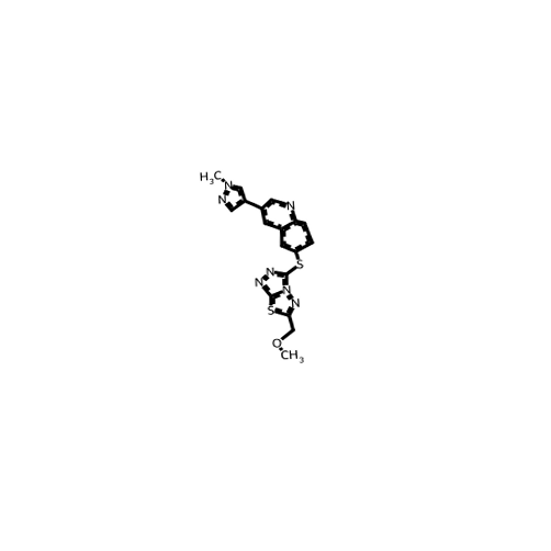 COCc1nn2c(Sc3ccc4ncc(-c5cnn(C)c5)cc4c3)nnc2s1